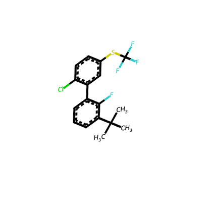 CC(C)(C)c1cccc(-c2cc(SC(F)(F)F)ccc2Cl)c1F